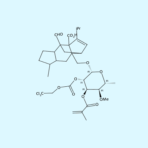 C=C(C)C(=O)O[C@H]1[C@H](OC(=O)OCC(Cl)(Cl)Cl)[C@H](OCC23CC4C(C)CCC4C4(C=O)CC2C=C(C(C)C)C43C(=O)O)O[C@H](C)[C@H]1OC